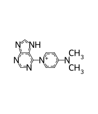 CN(C)c1cc[n+](-c2ncnc3nc[nH]c23)cc1